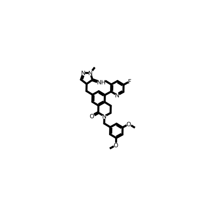 COc1cc(CN2CCc3c(cc(CC4C=NN(C)C4=N)cc3-c3ncc(F)cc3C)C2=O)cc(OC)c1